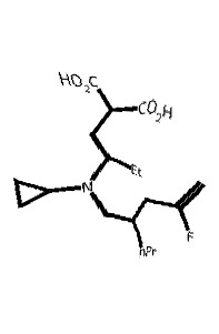 C=C(F)CC(CCC)CN(C1CC1)C(CC)CC(C(=O)O)C(=O)O